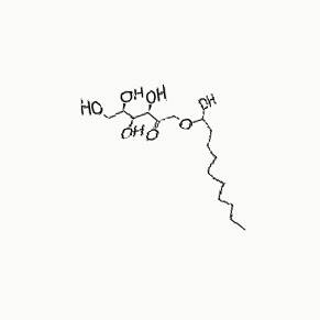 CCCCCCCCCC(O)OCC(=O)[C@H](O)[C@@H](O)[C@H](O)CO